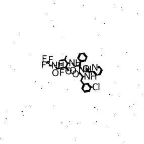 CC(C)C(NC(=O)C(NC(=O)C(Cc1cccc(Cl)c1)NC(=O)c1ccccn1)c1ccccc1)C(=O)C(F)(F)C(=O)NCC(F)(F)F